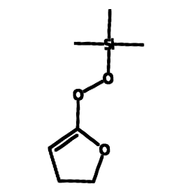 C[Si](C)(C)OOC1=CCCO1